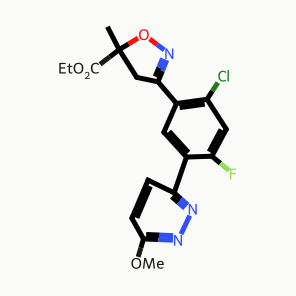 CCOC(=O)C1(C)CC(c2cc(-c3ccc(OC)nn3)c(F)cc2Cl)=NO1